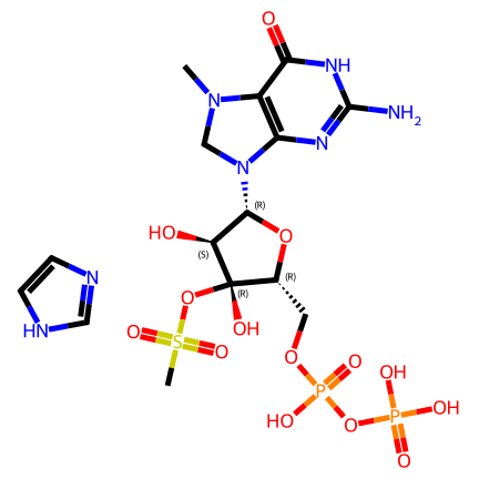 CN1CN([C@@H]2O[C@H](COP(=O)(O)OP(=O)(O)O)[C@](O)(OS(C)(=O)=O)[C@H]2O)c2nc(N)[nH]c(=O)c21.c1c[nH]cn1